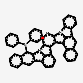 c1ccc(N(c2ccccc2)c2c3ccccc3cc3c4cccc5c6c7c8c9ccccc9cc9c%10ccccc%10n(c7ncc6n(c23)c45)c98)cc1